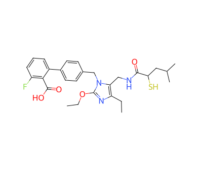 CCOc1nc(CC)c(CNC(=O)C(S)CC(C)C)n1Cc1ccc(-c2cccc(F)c2C(=O)O)cc1